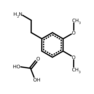 COc1ccc(CCN)cc1OC.O=C(O)O